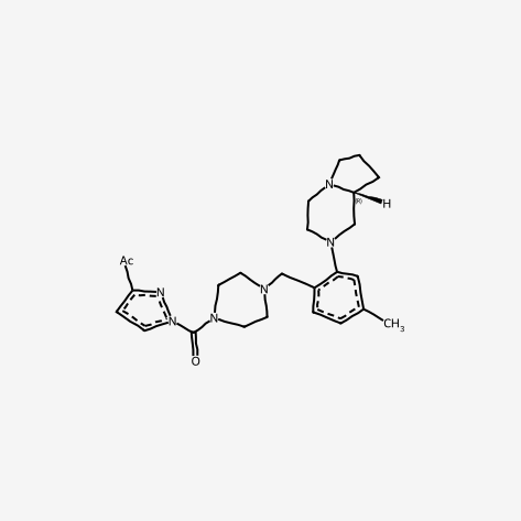 CC(=O)c1ccn(C(=O)N2CCN(Cc3ccc(C)cc3N3CCN4CCC[C@@H]4C3)CC2)n1